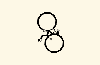 O=C1CCCCCCCCCC[C@@]1(O)[C@@]1([C@H](O)CO)CCCCCCCCCCO1